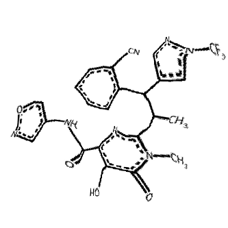 CC(c1nc(C(=O)Nc2cnoc2)c(O)c(=O)n1C)C(c1cnn(C(F)(F)F)c1)c1ccccc1C#N